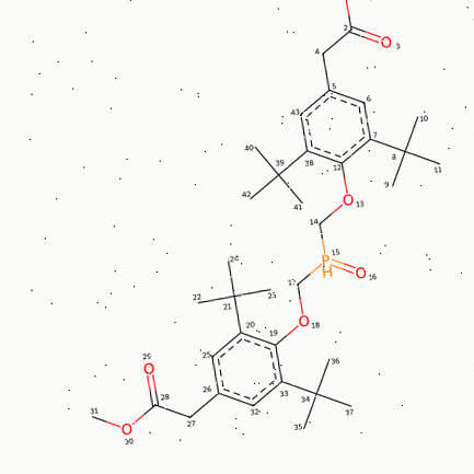 COC(=O)Cc1cc(C(C)(C)C)c(OC[PH](=O)COc2c(C(C)(C)C)cc(CC(=O)OC)cc2C(C)(C)C)c(C(C)(C)C)c1